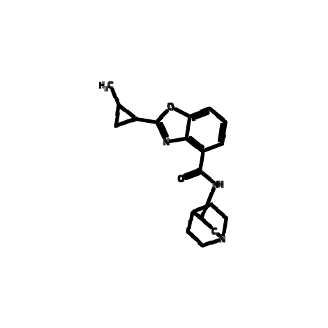 CC1CC1c1nc2c(C(=O)NC3CN4CCC3CC4)cccc2o1